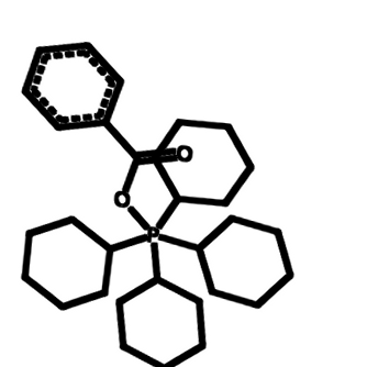 O=C(OP(C1CCCCC1)(C1CCCCC1)(C1CCCCC1)C1CCCCC1)c1ccccc1